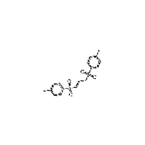 Cc1ccc(S(=O)(=O)C=CCS(=O)(=O)c2ccc(C)cc2)cc1